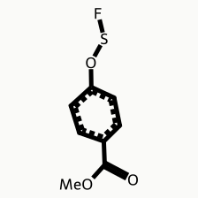 COC(=O)c1ccc(OSF)cc1